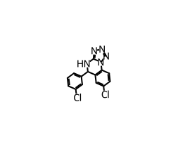 Clc1cccc(C2Nc3nnnn3-c3ccc(Cl)cc32)c1